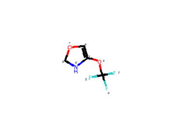 FC(F)(F)OC1=[C]OCN1